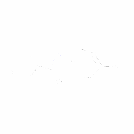 CC1=C(C(C#N)Nc2ccc([N+](=O)[O-])cc2)C(C)(C)CCC1